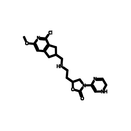 COc1cc2c(c(Cl)n1)CC(CNCCC1CN(C3=CNCC=N3)C(=O)O1)C2